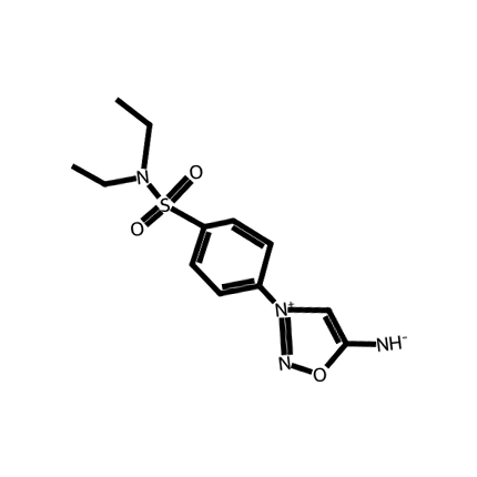 CCN(CC)S(=O)(=O)c1ccc(-[n+]2cc([NH-])on2)cc1